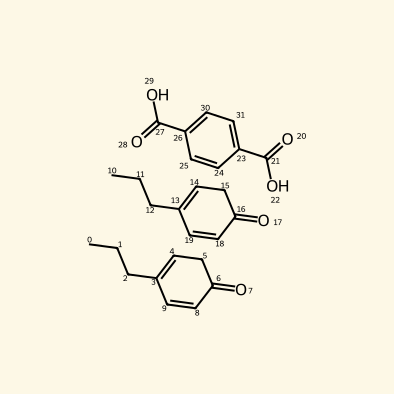 CCCC1=CCC(=O)C=C1.CCCC1=CCC(=O)C=C1.O=C(O)c1ccc(C(=O)O)cc1